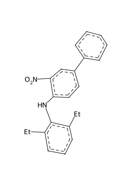 CCc1cccc(CC)c1Nc1ccc(-c2ccccc2)cc1[N+](=O)[O-]